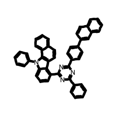 c1ccc(-c2nc(-c3ccc(-c4ccc5ccccc5c4)cc3)nc(-c3cccc4c3c3ccc5ccccc5c3n4-c3ccccc3)n2)cc1